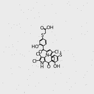 CSc1ccc(C(=O)c2[nH]c(Cl)c(Cl)c2-n2c(C(=O)c3ccc(SCC(=O)O)cc3O)cc(Cl)c2Cl)c(O)c1